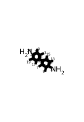 Cc1c(C)c(-c2c(C)c(C)c(N)c(C)c2C)c(C)c(C)c1N